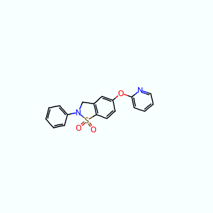 O=S1(=O)c2ccc(Oc3ccccn3)cc2CN1c1ccccc1